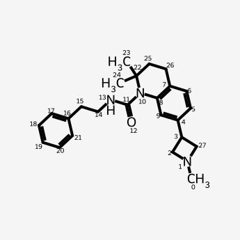 CN1CC(c2ccc3c(c2)N(C(=O)NCCc2ccccc2)C(C)(C)CC3)C1